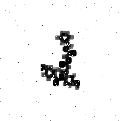 COc1ccc2c(c1)c(CC(=O)OCC(=O)OCc1ccccc1)c(C)n2C(=O)c1ccc(F)cc1